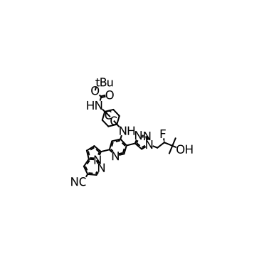 CC(C)(C)OC(=O)NC12CCC(Nc3cc(-c4ccc5cc(C#N)cnn45)ncc3-c3cn(C[C@@H](F)C(C)(C)O)nn3)(CC1)CC2